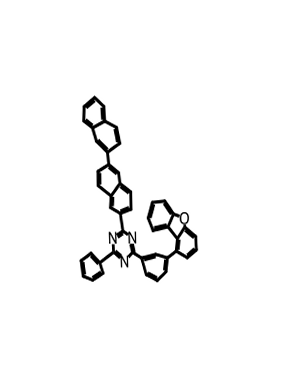 c1ccc(-c2nc(-c3cccc(-c4cccc5oc6ccccc6c45)c3)nc(-c3ccc4cc(-c5ccc6ccccc6c5)ccc4c3)n2)cc1